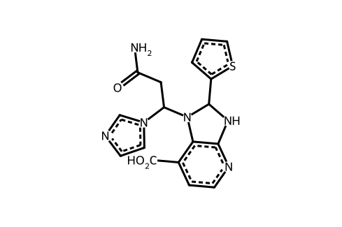 NC(=O)CC(N1c2c(C(=O)O)ccnc2NC1c1cccs1)n1ccnc1